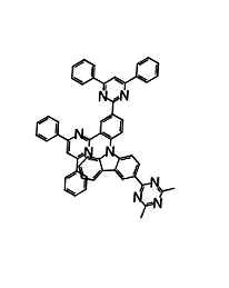 Cc1nc(C)nc(-c2ccc3c(c2)c2ccccc2n3-c2ccc(-c3nc(-c4ccccc4)cc(-c4ccccc4)n3)cc2-c2nc(-c3ccccc3)cc(-c3ccccc3)n2)n1